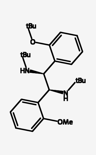 COc1ccccc1[C@H](NC(C)(C)C)[C@@H](NC(C)(C)C)c1ccccc1OC(C)(C)C